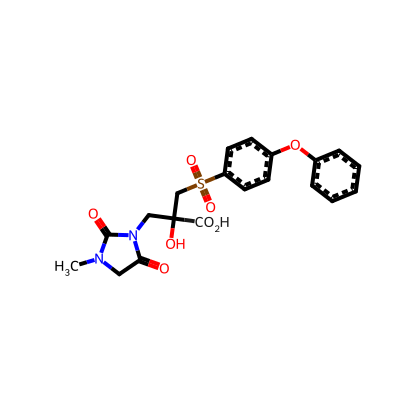 CN1CC(=O)N(CC(O)(CS(=O)(=O)c2ccc(Oc3ccccc3)cc2)C(=O)O)C1=O